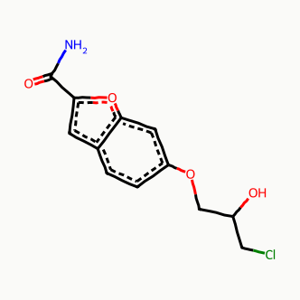 NC(=O)c1cc2ccc(OCC(O)CCl)cc2o1